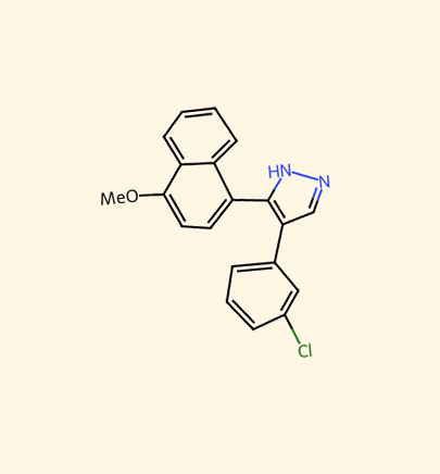 COc1ccc(-c2[nH]ncc2-c2cccc(Cl)c2)c2ccccc12